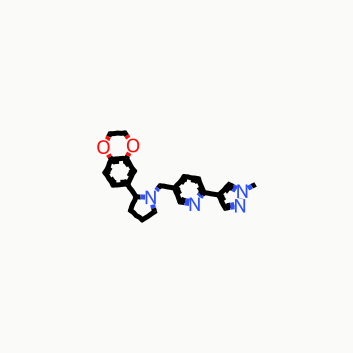 Cn1cc(-c2ccc(CN3CCCC3c3ccc4c(c3)OCCO4)cn2)cn1